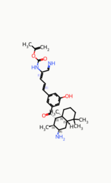 C=C(C)OC(=O)N/C(C=N)=C/C=C/c1cc(O)cc(C(=O)[C@H]2[C@H](C)[C@H](N)C[C@H]3C(C)(C)CCC[C@]23C)c1